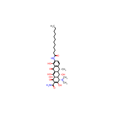 CCCCCCCCCCCC(=O)Nc1ccc2c(c1O)C(=O)C1=C(O)[C@]3(O)C(=O)C(C(N)=O)=C(O)[C@@H](N(C)C)C3[C@@H](O)C1[C@H]2C